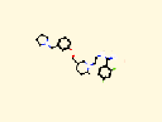 CC1CCC(COc2cccc(CN3CCCC3)c2)CN1CCN(C)/C(=N/O)c1ccc(F)cc1F